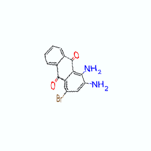 Nc1cc(Br)c2c(c1N)C(=O)c1ccccc1C2=O